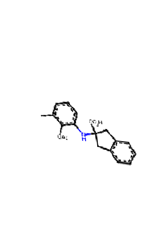 CC(=O)Oc1c(C)cccc1NC1(C(=O)O)Cc2ccccc2C1